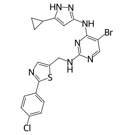 Clc1ccc(-c2ncc(CNc3ncc(Br)c(Nc4cc(C5CC5)[nH]n4)n3)s2)cc1